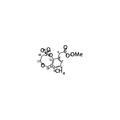 C.COOC(=O)Cc1cccc2c1OS(=O)(=O)CCOC2